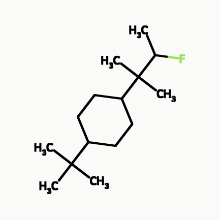 CC(F)C(C)(C)C1CCC(C(C)(C)C)CC1